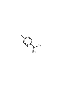 [CH2]c1ccc(N(CC)CC)nc1